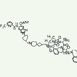 COc1cc2nn(C3CCC(CN4CCC5(CC4)CC(CCCOc4ccc6c(c4)CN(C(=O)C(NC(=O)C(C)N(C)C(=O)OC(C)(C)C)C(C)(C)C)[C@H](C(=O)N[C@@H]4CCCc7ccccc74)C6)C5)CC3)cc2cc1NC(=O)c1cccc(C(F)(F)F)n1